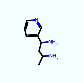 CC(N)CC(N)c1cccnc1